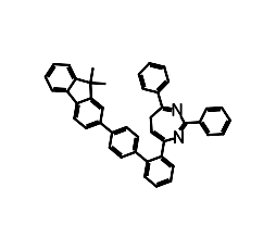 CC1(C)c2ccccc2-c2ccc(-c3ccc(-c4ccccc4C4=CCC(c5ccccc5)=NC(c5ccccc5)=N4)cc3)cc21